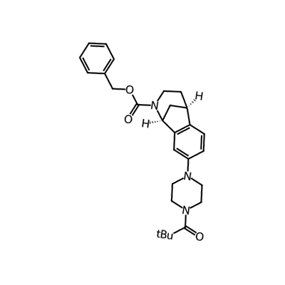 CC(C)(C)C(=O)N1CCN(c2ccc3c(c2)[C@@H]2C[C@H]3CCN2C(=O)OCc2ccccc2)CC1